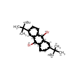 CCCCC(C)(C)c1ccc2c(Br)c3cc(C(C)(C)CCCC)ccc3c(Br)c2c1